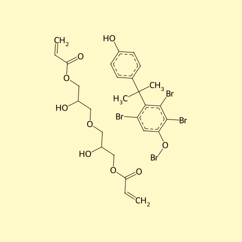 C=CC(=O)OCC(O)COCC(O)COC(=O)C=C.CC(C)(c1ccc(O)cc1)c1c(Br)cc(OBr)c(Br)c1Br